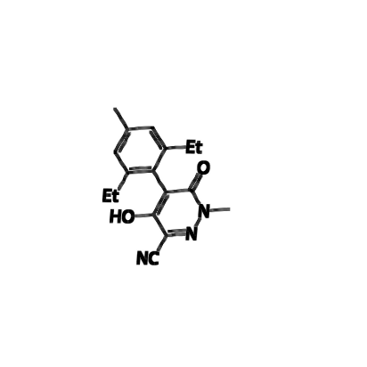 CCc1cc(C)cc(CC)c1-c1c(O)c(C#N)nn(C)c1=O